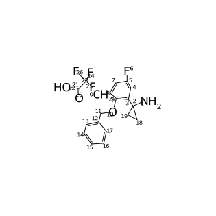 C.NC1(c2cc(F)ccc2OCc2ccccc2)CC1.O=C(O)C(F)(F)F